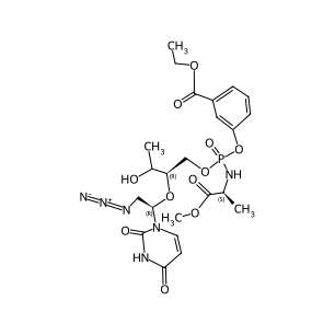 CCOC(=O)c1cccc(OP(=O)(N[C@@H](C)C(=O)OC)OC[C@@H](O[C@H](CN=[N+]=[N-])n2ccc(=O)[nH]c2=O)C(C)O)c1